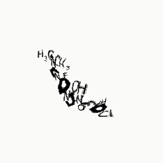 CN(C)C1CCN(c2ccc(N3CCC[C@@H](NC(=O)Nc4ccc(Cl)cc4)C3=O)cc2F)C1